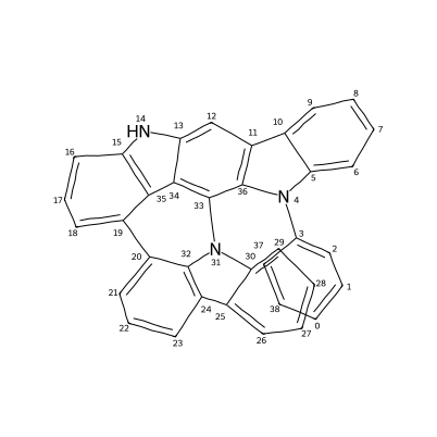 c1ccc(-n2c3ccccc3c3cc4[nH]c5cccc6c7cccc8c9ccccc9n(c78)c(c4c56)c32)cc1